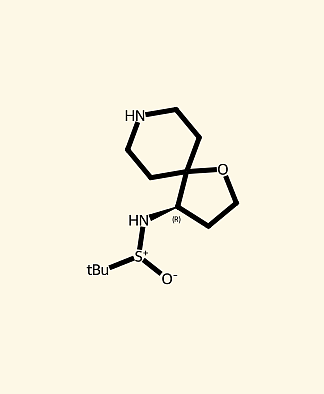 CC(C)(C)[S+]([O-])N[C@@H]1CCOC12CCNCC2